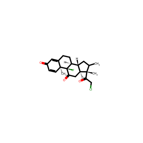 CC1C[C@H]2[C@@H]3CCC4=CC(=O)C=C[C@]4(C)[C@@]3(F)C(=O)C[C@]2(C)[C@@]1(C)C(=O)CCl